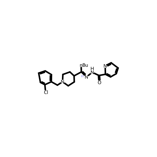 CCCC/C(=N\NC(=O)c1ccccn1)C1CCN(Cc2ccccc2Cl)CC1